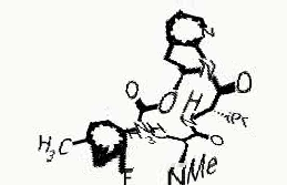 CN[C@@H](C)C(=O)N[C@H](C(=O)N1c2ncccc2C[C@@H]1OC(=O)Nc1ccc(C)cc1F)C(C)C